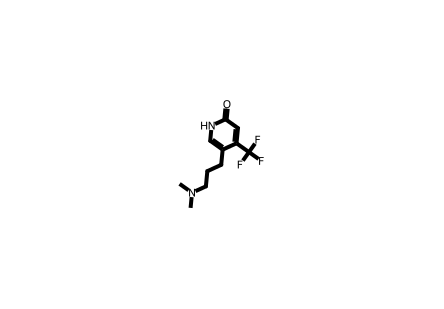 CN(C)CCCc1c[nH]c(=O)cc1C(F)(F)F